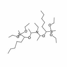 CCCCCC(OC(C)N(CC)C(C)OC(CCCCC)[Si](C)(OCC)OCC)[Si](C)(OCC)OCC